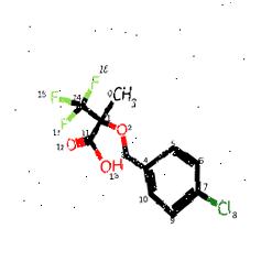 CC(OCc1ccc(Cl)cc1)(C(=O)O)C(F)(F)F